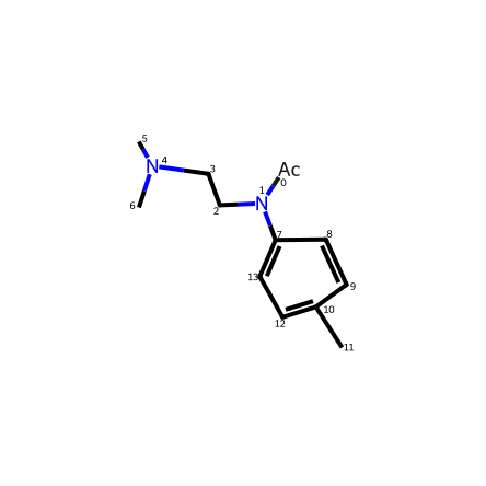 CC(=O)N(CCN(C)C)c1ccc(C)cc1